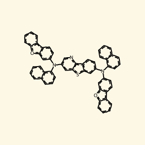 c1ccc2c(N(c3ccc4c(c3)oc3ccccc34)c3ccc4c(c3)sc3cc(N(c5ccc6c(c5)oc5ccccc56)c5cccc6ccccc56)cnc34)cccc2c1